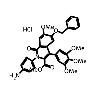 COC(=O)c1c(-c2cc(OC)c(OC)c(OC)c2)c2cc(OCc3ccccc3)c(OC)cc2c(=O)n1-c1ccc(N)cc1.Cl